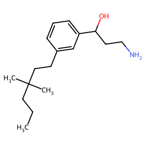 CCCC(C)(C)CCc1cccc(C(O)CCN)c1